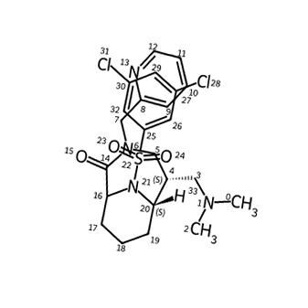 CN(C)C[C@H]1CN(Cc2ccccn2)C(=O)C2CCC[C@@H]1N2S(=O)(=O)c1cc(Cl)cc(Cl)c1